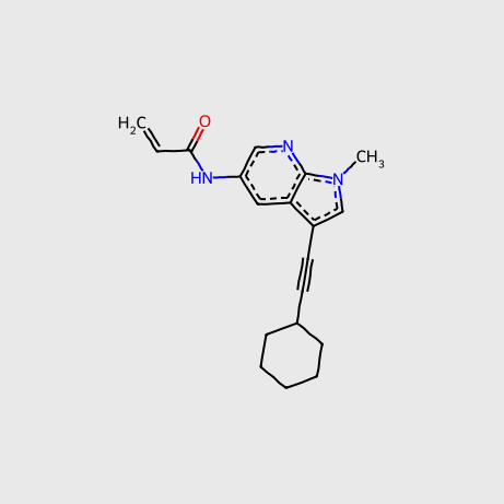 C=CC(=O)Nc1cnc2c(c1)c(C#CC1CCCCC1)cn2C